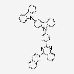 c1ccc2cc(-c3nc(-c4ccc(-n5c6ccccc6c6cc(-n7c8ccccc8c8ccccc87)ccc65)cc4)nc4ccccc34)ccc2c1